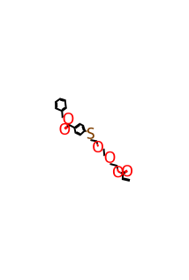 C=CC(=O)OCCOCCOCCSc1ccc(C(=O)OCc2ccccc2)cc1